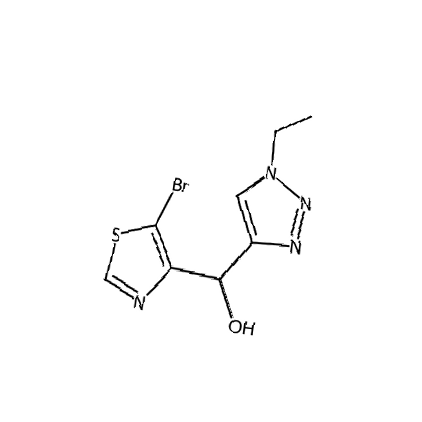 CCn1cc(C(O)c2ncsc2Br)nn1